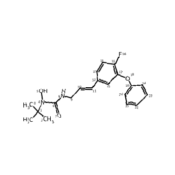 CC(C)(C)N(O)C(=O)NCC=Cc1ccc(F)c(Oc2ccccc2)c1